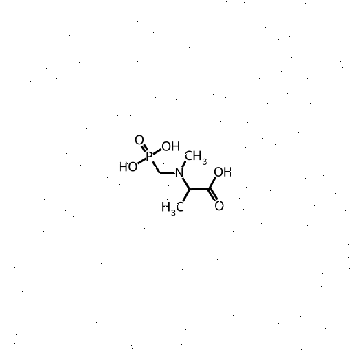 CC(C(=O)O)N(C)CP(=O)(O)O